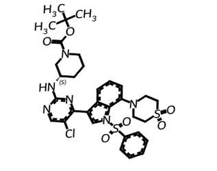 CC(C)(C)OC(=O)N1CCC[C@H](Nc2ncc(Cl)c(-c3cn(S(=O)(=O)c4ccccc4)c4c(N5CCS(=O)(=O)CC5)cccc34)n2)C1